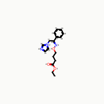 CCOC(=O)CCCON=C(Cn1ccnc1)c1ccccc1